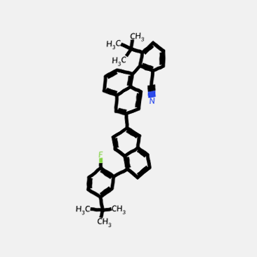 CC(C)(C)c1ccc(F)c(-c2cccc3cc(-c4ccc5c(-c6c(C#N)cccc6C(C)(C)C)cccc5c4)ccc23)c1